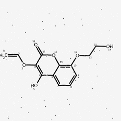 C=COc1c(O)c2cccc(OCCO)c2oc1=O